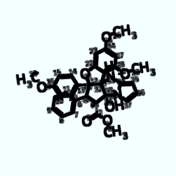 COC(=O)[C@@H]1[C@@H](c2ccccc2)[C@]2(c3ccc(OC)cc3)Oc3cc(OC)cc(OC)c3[C@@]23Nc2cccn2[C@@]13O